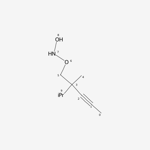 CC#CC(C)(CONO)C(C)C